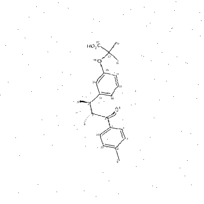 Cc1ccc(C(=O)[C@H](C)[C@@H](C)c2cccc(OC(C)(C)C(=O)O)c2)cc1